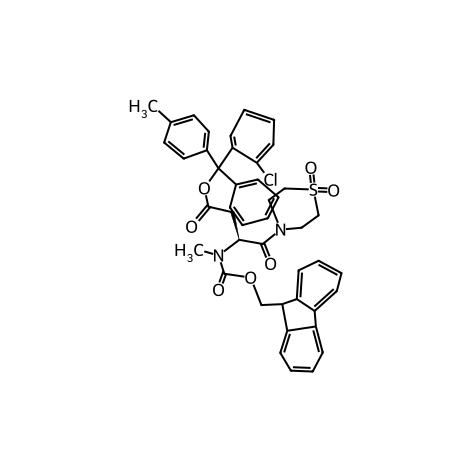 Cc1ccc(C(OC(=O)C[C@@H](C(=O)N2CCS(=O)(=O)CC2)N(C)C(=O)OCC2c3ccccc3-c3ccccc32)(c2ccccc2)c2ccccc2Cl)cc1